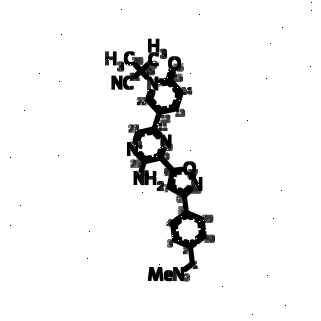 CNCc1ccc(-c2cc(-c3nc(-c4ccc(=O)n(C(C)(C)C#N)c4)cnc3N)on2)cc1